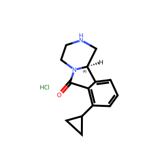 Cl.O=C1c2c(C3CC3)cccc2[C@@H]2CNCCN12